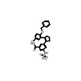 CS(=O)(=O)Nc1cc(C(=O)O)cc(C2=C(c3cc(Cl)ccc3OCc3ccccc3)CCC2)c1